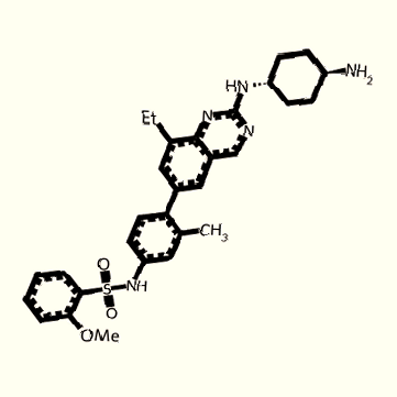 CCc1cc(-c2ccc(NS(=O)(=O)c3ccccc3OC)cc2C)cc2cnc(N[C@H]3CC[C@H](N)CC3)nc12